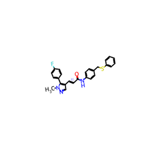 Cn1ncc(/C=C/C(=O)Nc2ccc(CSc3ccccc3)cc2)c1-c1ccc(F)cc1